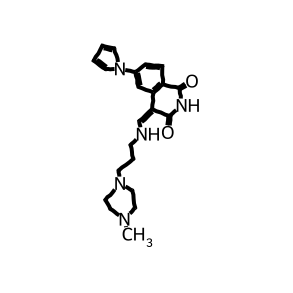 CN1CCN(CCCNC=C2C(=O)NC(=O)c3ccc(-n4cccc4)cc32)CC1